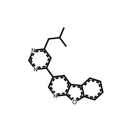 CC(C)Cc1cc(-c2cnc3oc4ccccc4c3c2)ncn1